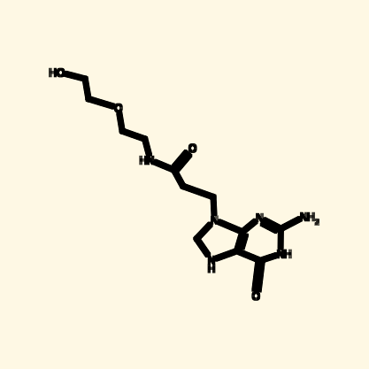 Nc1nc2c(c(=O)[nH]1)NCN2CCC(=O)NCCOCCO